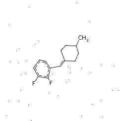 CC1CCC(=Cc2cccc(F)c2F)CC1